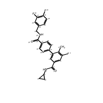 Cc1c(F)cc(C(=O)NC2CC2)cc1-c1ccc(C(=O)NCc2ccc(F)c(F)c2)cn1